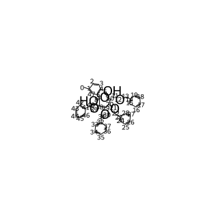 Cc1ccc(O)c([C@]2(O)O[C@H](COCc3ccccc3)[C@@H](OCc3ccccc3)[C@H](OCc3ccccc3)[C@H]2OCc2ccccc2)c1